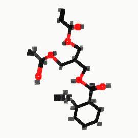 C=CC(=O)OCC(COC(=O)C(C)=O)COC(=O)C1CCCCC1C(=O)O